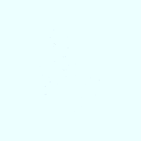 CC1(C)C(C2=CC=CCC2)=C(c2ccccc2)C2=C1N(C1=CC=CC(c3ccccn3)N1)c1ccccc1-c1ccccc12